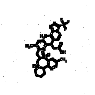 Cc1cnc2c(c1)S(=O)(=O)N(Cc1nc(C(CC(=O)O)c3ccn4c(C(F)(F)F)nnc4c3C)ccc1C)C[C@H]1CCCCN21